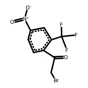 O=C(CBr)c1ccc([N+](=O)[O-])cc1C(F)(F)F